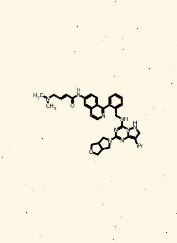 CC(C)C1=C2N=C(N3CC4COCC4C3)N=C(NCc3ccccc3-c3nccc4cc(NC(=O)/C=C/CN(C)C)ccc34)N2NC1